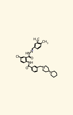 Cc1ccc(/C=N/NC(=O)c2cc(Cl)ccc2NC(=O)c2cccc(CN3CCC(N4CCCCC4)CC3)c2)cc1C